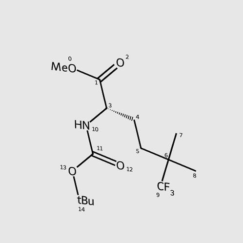 COC(=O)[C@H](CCC(C)(C)C(F)(F)F)NC(=O)OC(C)(C)C